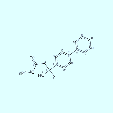 CCCOC(=O)CC(C)(O)c1ccc(-c2ccccc2)cc1